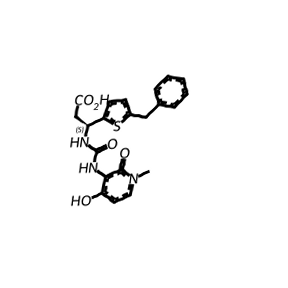 Cn1ccc(O)c(NC(=O)N[C@@H](CC(=O)O)c2ccc(Cc3ccccc3)s2)c1=O